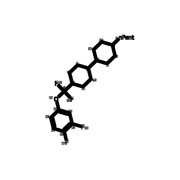 CCCCCC1CCC(C2CCC(C(F)(F)Oc3ccc(F)c(F)c3)CC2)CC1